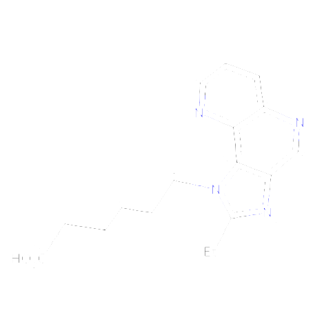 CCc1nc2cnc3cccnc3c2n1CCCCCC(=O)O